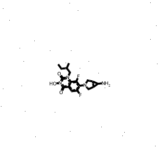 CCC(C)Cn1c(=O)n(O)c(=O)c2cc(F)c(N3CC4C(N)C4C3)c(F)c21